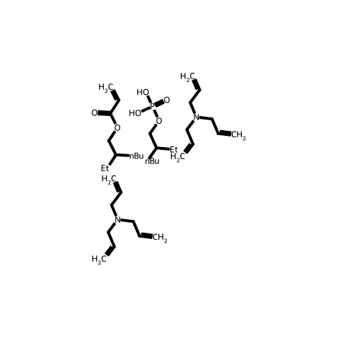 C=CC(=O)OCC(CC)CCCC.C=CCN(CC=C)CC=C.C=CCN(CC=C)CC=C.CCCCC(CC)COP(=O)(O)O